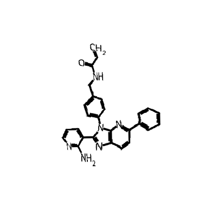 C=CC(=O)NCc1ccc(-n2c(-c3cccnc3N)nc3ccc(-c4ccccc4)nc32)cc1